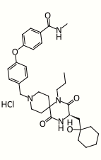 CCCN1C(=O)[C@@H](CC2(O)CCCCC2)NC(=O)C12CCN(Cc1ccc(Oc3ccc(C(=O)NC)cc3)cc1)CC2.Cl